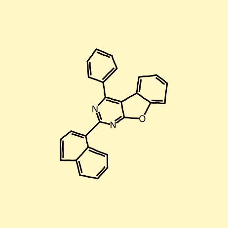 c1ccc(-c2nc(-c3cccc4ccccc34)nc3oc4ccccc4c23)cc1